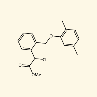 COC(=O)C(Cl)c1ccccc1COc1cc(C)ccc1C